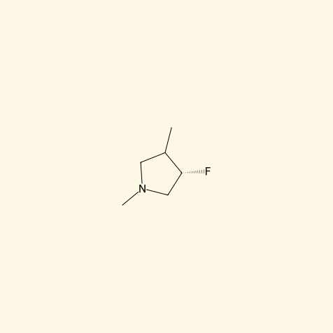 CC1CN(C)C[C@H]1F